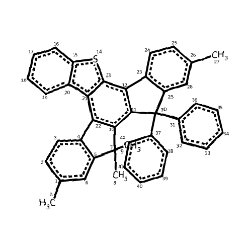 Cc1ccc2c(c1)C(C)(C)c1c3c(c4sc5ccccc5c4c1-2)-c1ccc(C)cc1C3(c1ccccc1)c1ccccc1